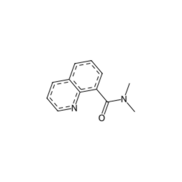 CN(C)C(=O)c1cccc2cccnc12